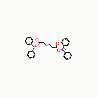 O=C(CCCCC(=O)O[I+](c1ccccc1)c1ccccc1)O[I+](c1ccccc1)c1ccccc1